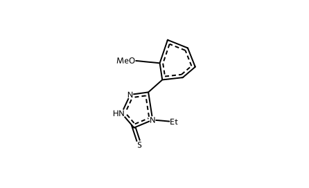 CCn1c(-c2ccccc2OC)n[nH]c1=S